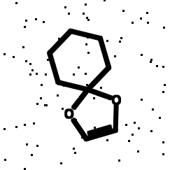 C1=COC2(CCCCC2)O1